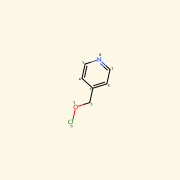 ClOCc1ccncc1